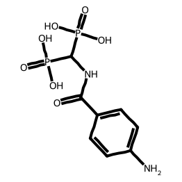 Nc1ccc(C(=O)NC(P(=O)(O)O)P(=O)(O)O)cc1